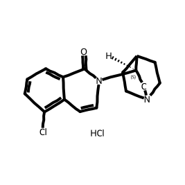 Cl.O=c1c2cccc(Cl)c2ccn1[C@@H]1CN2CCC1CC2